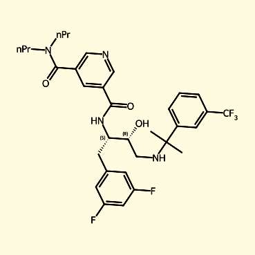 CCCN(CCC)C(=O)c1cncc(C(=O)N[C@@H](Cc2cc(F)cc(F)c2)[C@H](O)CNC(C)(C)c2cccc(C(F)(F)F)c2)c1